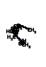 CCCCCCc1coc(CC(C)C(=O)c2c(O)cc(C(C)CC/C=C/NC(=O)OC)oc2=O)c1